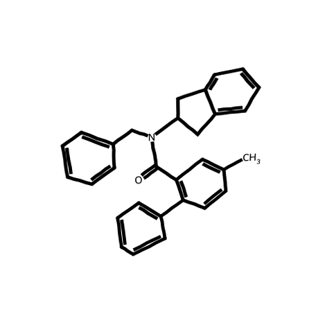 Cc1ccc(-c2ccccc2)c(C(=O)N(Cc2ccccc2)C2Cc3ccccc3C2)c1